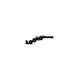 C=CCCCCCCOc1ccc(OC(=O)c2ccc(-c3ccc(CC(C)CC)cc3)cc2)cc1